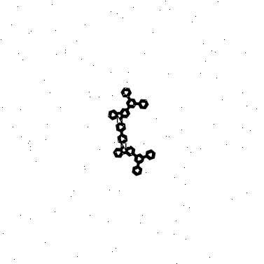 c1ccc(-c2cc(-c3ccccc3)cc(-c3ccc4c(c3)c3ccccc3n4-c3ccc(-c4ccc(-n5c6ccccc6c6cc(-c7cc(-c8ccccc8)cc(-c8ccccc8)c7)ccc65)cc4)cc3)c2)cc1